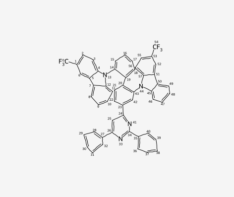 FC(F)(F)c1ccc2c(c1)c1ccccc1n2-c1ccccc1-c1ccc(-c2cc(-c3ccccc3)nc(-c3ccccc3)n2)cc1-n1c2ccccc2c2cc(C(F)(F)F)ccc21